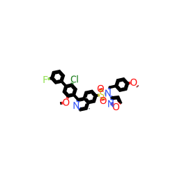 COc1ccc(CN(c2ccon2)S(=O)(=O)c2ccc3c(-c4cc(Cl)c(-c5cccc(F)c5)cc4OC)nc[c]c3c2)cc1